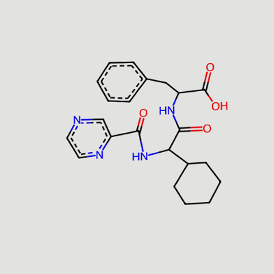 O=C(NC(C(=O)NC(Cc1ccccc1)C(=O)O)C1CCCCC1)c1cnccn1